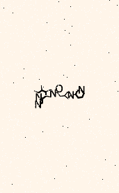 Cc1c2c(c3cncn3c1C)CN(C(=O)CC1CN(c3cccnc3)C1)C2